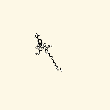 Cc1ncsc1-c1ccc(CC2(C(N)=O)CC(O)CN2C(=O)C(NCCCCCCCCCCCN)C(C)(C)C)cc1